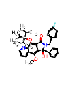 COc1c2c(c(O[Si](C(C)C)(C(C)C)C(C)C)c3ncccc13)C(=O)N(Cc1ccc(F)cc1)C2(O)c1ccccc1